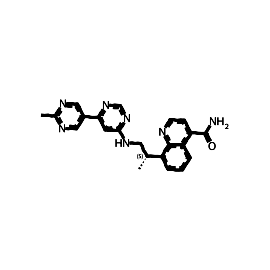 Cc1ncc(-c2cc(NC[C@@H](C)c3cccc4c(C(N)=O)ccnc34)ncn2)cn1